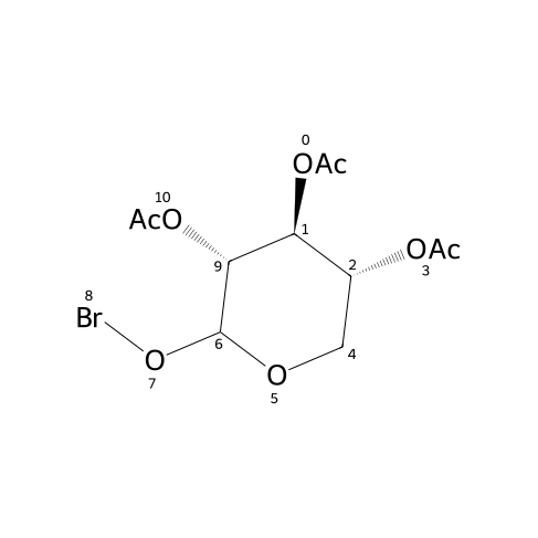 CC(=O)O[C@H]1[C@H](OC(C)=O)COC(OBr)[C@@H]1OC(C)=O